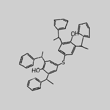 CC(c1ccccc1)c1cc(Sc2cc(C(C)c3ccccc3)c(O)c(C(C)c3ccccc3)c2)cc(C(C)c2ccccc2)c1O